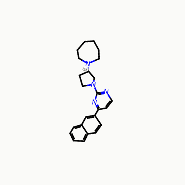 c1ccc2cc(-c3ccnc(N4CC[C@H](N5CCCCCC5)C4)n3)ccc2c1